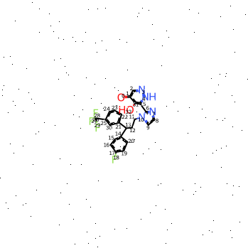 O=c1cn[nH]c(-c2nccn2CCC(c2ccc(F)cc2)c2cccc(C(F)(F)F)c2)c1O